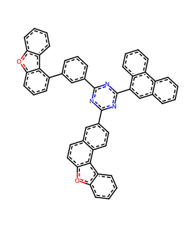 c1cc(-c2nc(-c3ccc4c(ccc5oc6ccccc6c54)c3)nc(-c3cc4ccccc4c4ccccc34)n2)cc(-c2cccc3oc4ccccc4c23)c1